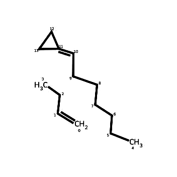 C=CCC.CCCCCCC=C1CC1